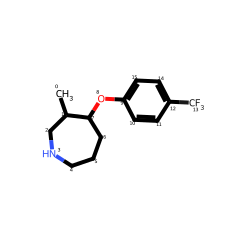 CC1CNCCCC1Oc1ccc(C(F)(F)F)cc1